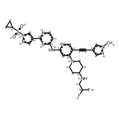 Cn1cc(C#Cc2cnc(Nc3ccnc(-c4cnn(S(=O)(=O)C5CC5)c4)n3)cc2N2CCC(NCC(F)F)CC2)cn1